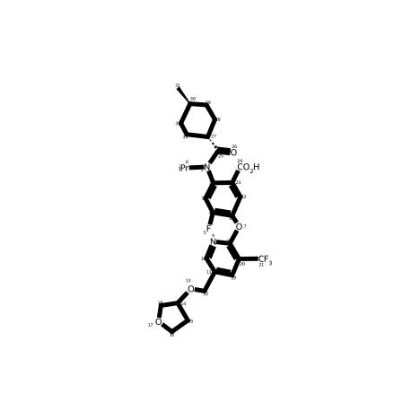 CC(C)N(c1cc(F)c(Oc2ncc(COC3CCOC3)cc2C(F)(F)F)cc1C(=O)O)C(=O)[C@H]1CC[C@H](C)CC1